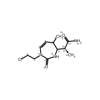 CC1C=CN(CCCl)C(=O)NC1[C@H](C)C(N)=O